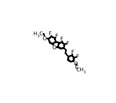 CCOc1ccc(CCc2cc3oc4cc(OCC)c(F)c(F)c4c3c(F)c2F)c(F)c1F